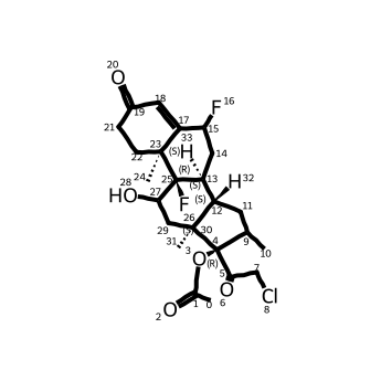 CC(=O)O[C@]1(C(=O)CCl)C(C)C[C@H]2[C@@H]3CC(F)C4=CC(=O)CC[C@]4(C)[C@@]3(F)C(O)C[C@@]21C